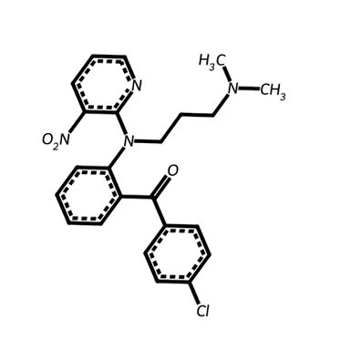 CN(C)CCCN(c1ccccc1C(=O)c1ccc(Cl)cc1)c1ncccc1[N+](=O)[O-]